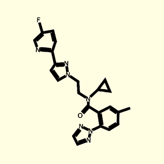 Cc1ccc(-n2nccn2)c(C(=O)N(CCn2ccc(-c3ccc(F)cn3)n2)C2CC2)c1